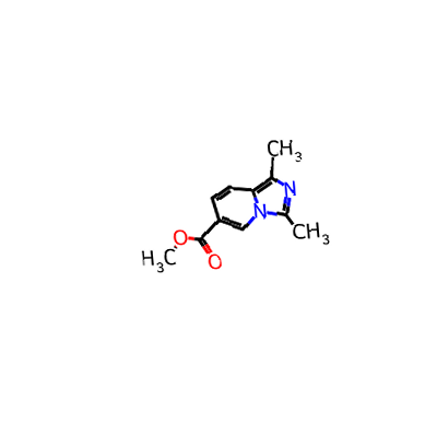 COC(=O)c1ccc2c(C)nc(C)n2c1